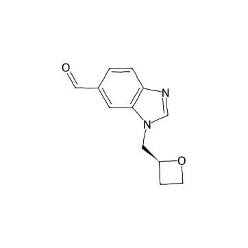 O=Cc1ccc2ncn(C[C@@H]3CCO3)c2c1